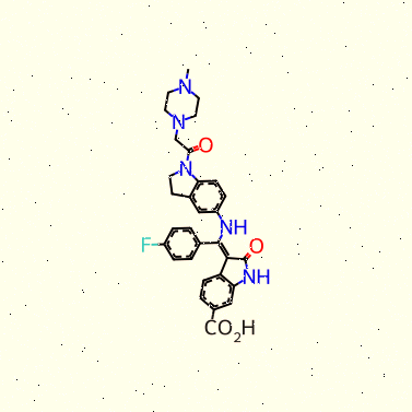 CN1CCN(CC(=O)N2CCc3cc(N/C(=C4\C(=O)Nc5cc(C(=O)O)ccc54)c4ccc(F)cc4)ccc32)CC1